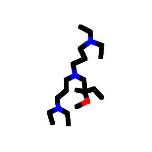 CCN(CC)CCCN(CCCN(CC)CC)C[Si](C)(CC)OC